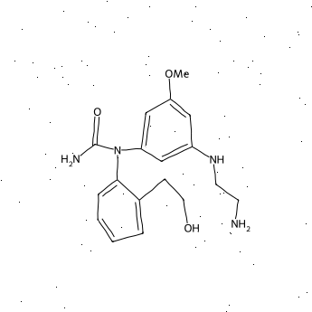 COc1cc(NCCN)cc(N(C(N)=O)c2ccccc2CCO)c1